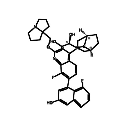 OC[C@@H](O)CN1[C@@H]2CC[C@H]1CN(c1nc(OCC34CCCN3CCC4)nc3c(F)c(-c4cc(O)cc5cccc(F)c45)ccc13)C2